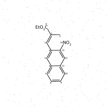 CCOC(=O)C(C)=Cc1cc2ccccc2cc1[N+](=O)[O-]